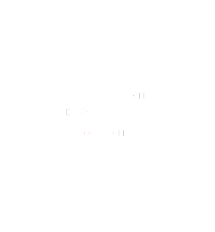 CC=CC(C)C(=O)OCC